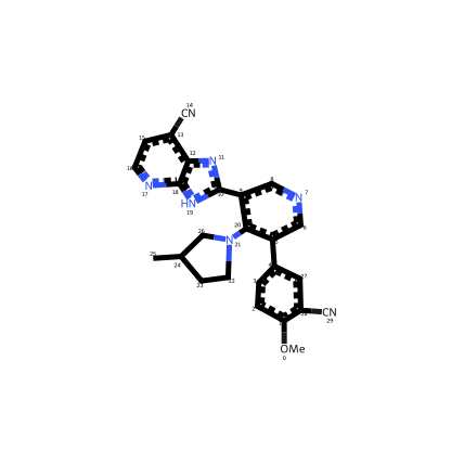 COc1ccc(-c2cncc(-c3nc4c(C#N)ccnc4[nH]3)c2N2CCC(C)C2)cc1C#N